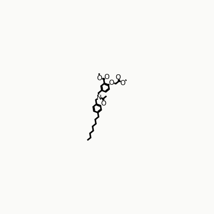 CCCCCCCCc1ccc(CN(Cc2ccc(OCC(=O)OC)c(C(=O)OC)c2)C(C)=O)cc1